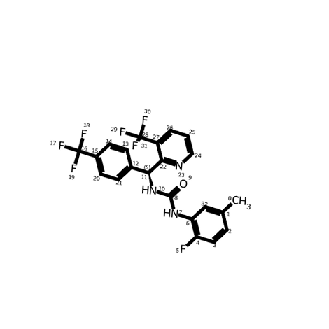 Cc1ccc(F)c(NC(=O)N[C@@H](c2ccc(C(F)(F)F)cc2)c2ncccc2C(F)(F)F)c1